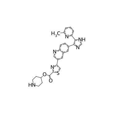 Cc1cccc(-c2[nH]cnc2-c2ccc3ncc(-c4csc(C(=O)OC5CCNCC5)n4)cc3c2)n1